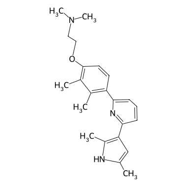 Cc1cc(-c2cccc(-c3ccc(OCCN(C)C)c(C)c3C)n2)c(C)[nH]1